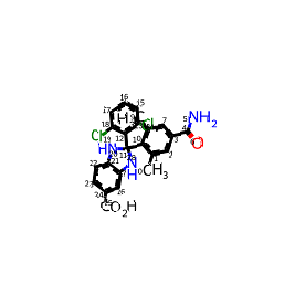 Cc1cc(C(N)=O)cc(C)c1C1(c2c(Cl)cccc2Cl)Nc2ccc(C(=O)O)cc2N1